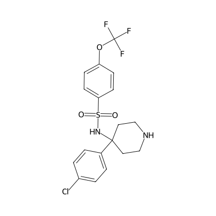 O=S(=O)(NC1(c2ccc(Cl)cc2)CCNCC1)c1ccc(OC(F)(F)F)cc1